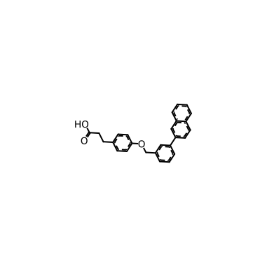 O=C(O)CCc1ccc(OCc2cccc(-c3ccc4ccccc4c3)c2)cc1